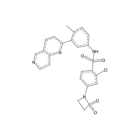 Cc1ccc(NS(=O)(=O)c2ccc(N3CCS3(=O)=O)cc2Cl)cc1-c1ccc2cnccc2n1